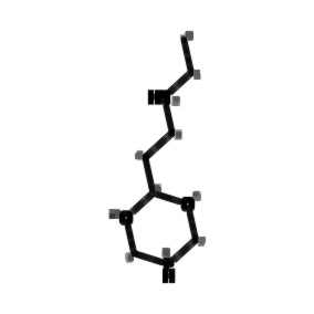 CCNCCC1OCPCO1